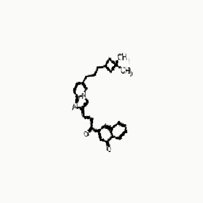 CC1(C)CC(CCCc2ccc3nc(CCC(=O)C4=CC(=O)C5C=CC=CC5=C4)cn3c2)C1